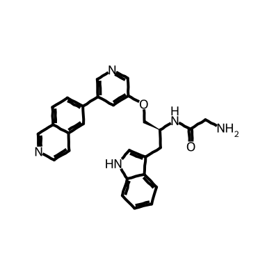 NCC(=O)N[C@H](COc1cncc(-c2ccc3cnccc3c2)c1)Cc1c[nH]c2ccccc12